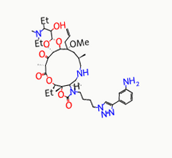 C=CC[C@@]1(OC)C[C@@H](C)CN[C@H](C)[C@H]2N(CCCCn3cc(-c4cccc(N)c4)nn3)C(=O)O[C@]2(C)[C@@H](CC)OC(=O)[C@H](C)C(=O)[C@H](C)[C@H]1O[C@H](OCC)C(O)C(CC)N(C)C